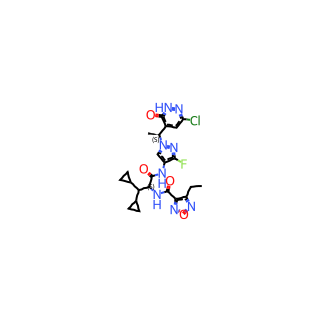 CCc1nonc1C(=O)N[C@H](C(=O)Nc1cn([C@@H](C)c2cc(Cl)n[nH]c2=O)nc1F)C(C1CC1)C1CC1